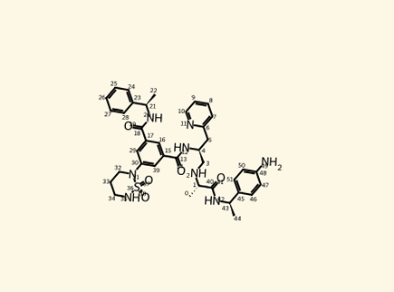 C[C@H](NC[C@H](Cc1ccccn1)NC(=O)c1cc(C(=O)N[C@H](C)c2ccccc2)cc(N2CCCNS2(=O)=O)c1)C(=O)N[C@H](C)c1ccc(N)cc1